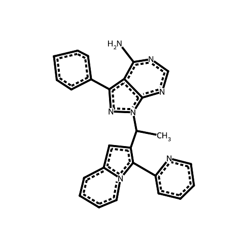 CC(c1cc2ccccn2c1-c1ccccn1)n1nc(-c2ccccc2)c2c(N)ncnc21